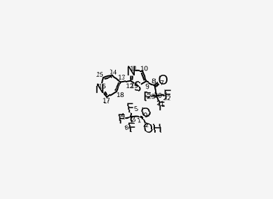 O=C(O)C(F)(F)F.O=C(c1cnc(-c2ccncc2)s1)C(F)(F)F